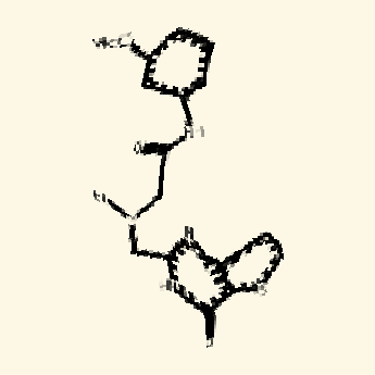 CCN(CC(=O)Nc1cccc(OC)c1)Cc1nc2ccsc2c(=O)[nH]1